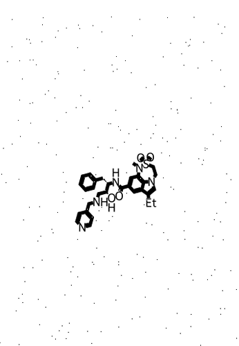 CCc1cn2c3c(cc(C(=O)N[C@@H](Cc4ccccc4)[C@H](O)CNCc4ccncc4)cc13)N(C)S(=O)(=O)CC2